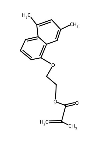 C=C(C)C(=O)OCCOc1cccc2c(C)cc(C)cc12